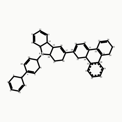 C1=CCC(C2=CCC(N3C4C=CC=CC4C4C=C(C5=CC=C6C7=C(CCC=C7)c7ccccc7C6C5)CCC43)C=C2)C=C1